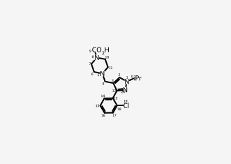 CC(C)n1cc(CN2CCN(C(=O)O)CC2)c(-c2ccccc2Cl)n1